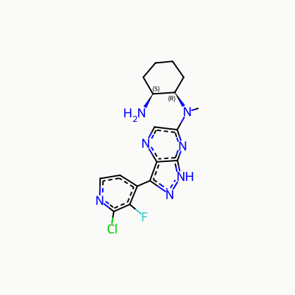 CN(c1cnc2c(-c3ccnc(Cl)c3F)n[nH]c2n1)[C@@H]1CCCC[C@@H]1N